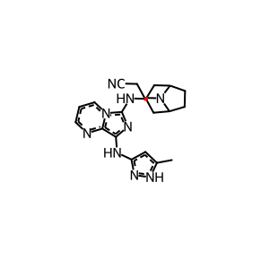 Cc1cc(Nc2nc(NC3CC4CCC(C3)N4CCC#N)n3cccnc23)n[nH]1